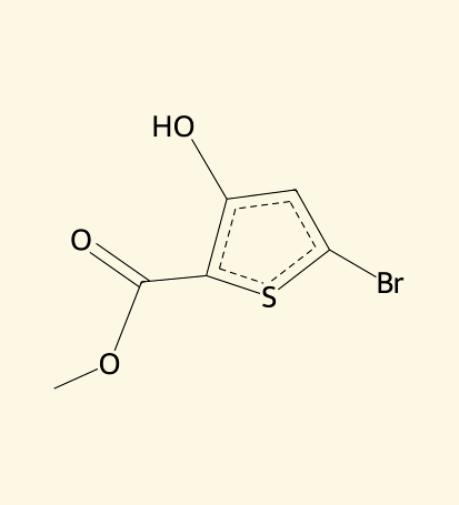 COC(=O)c1sc(Br)cc1O